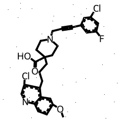 COc1ccc2ncc(Cl)c(CCCC3(C(=O)O)CCN(CC#Cc4cc(F)cc(Cl)c4)CC3)c2c1